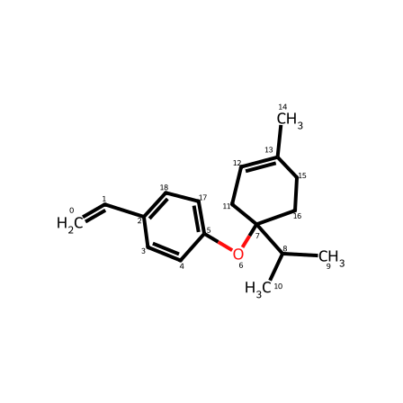 C=Cc1ccc(OC2(C(C)C)CC=C(C)CC2)cc1